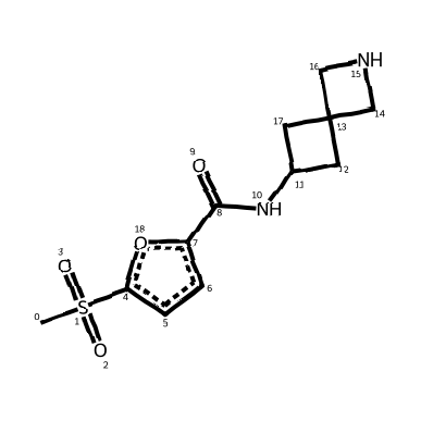 CS(=O)(=O)c1ccc(C(=O)NC2CC3(CNC3)C2)o1